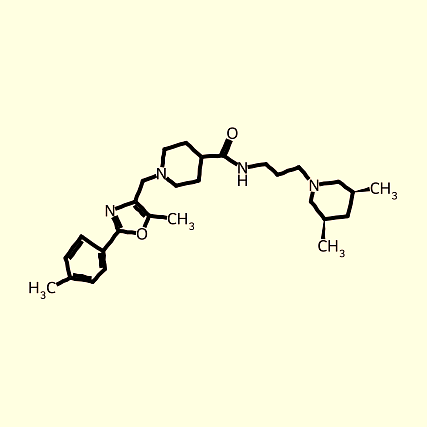 Cc1ccc(-c2nc(CN3CCC(C(=O)NCCCN4C[C@H](C)C[C@H](C)C4)CC3)c(C)o2)cc1